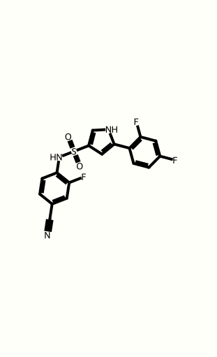 N#Cc1ccc(NS(=O)(=O)c2c[nH]c(-c3ccc(F)cc3F)c2)c(F)c1